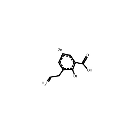 C=CCc1cccc(C(=O)O)c1O.[Zn]